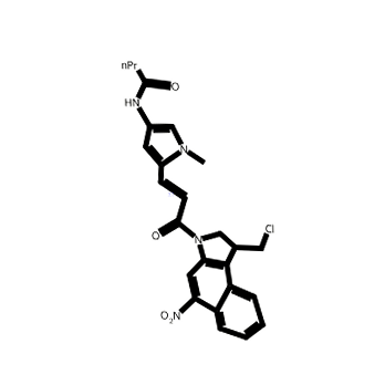 CCCC(=O)Nc1cc(/C=C/C(=O)N2CC(CCl)c3c2cc([N+](=O)[O-])c2ccccc32)n(C)c1